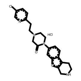 Cl.O=C1CN(CCc2ccc(Cl)cn2)CCN1c1ccc2c3c(sc2c1)CNCC3